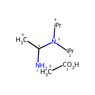 CC(=O)O.CC(C)N(C(C)C)C(C)N